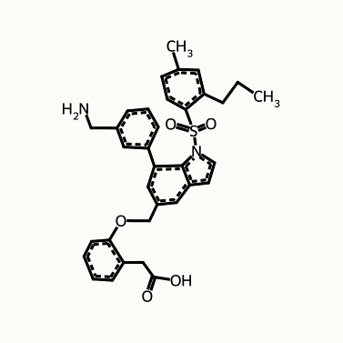 CCCc1cc(C)ccc1S(=O)(=O)n1ccc2cc(COc3ccccc3CC(=O)O)cc(-c3cccc(CN)c3)c21